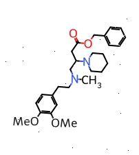 COc1ccc(CCN(C)CC(CC(=O)OCc2ccccc2)N2CCCCC2)cc1OC